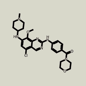 COc1c(NC2CCN(C)CC2)cc(Cl)c2cnc(Nc3ccc(C(=O)N4CCOCC4)cc3)nc12